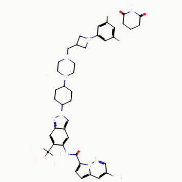 C[C@@H]1CN(CC2CN(c3cc(F)c([C@H]4CCC(=O)NC4=O)c(F)c3)C2)CCN1C1CCC(n2cc3cc(NC(=O)c4ccc5cc(C#N)cnn45)c(C(C)(C)O)cc3n2)CC1